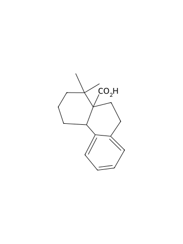 CC1(C)CCCC2c3ccccc3CCC21C(=O)O